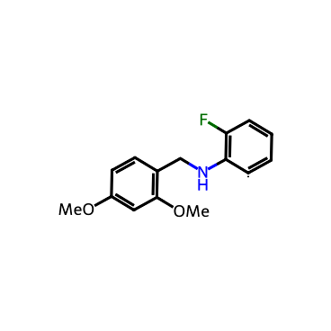 COc1ccc(CNc2[c]cccc2F)c(OC)c1